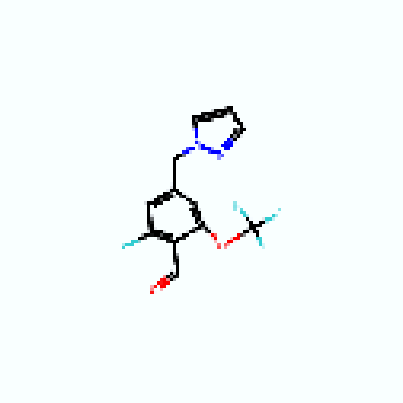 O=Cc1c(F)cc(Cn2cccn2)cc1OC(F)(F)F